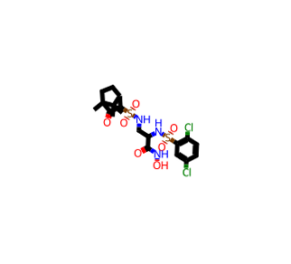 CC12CCC(C(S(=O)(=O)NCC(NS(=O)(=O)c3cc(Cl)ccc3Cl)C(=O)NO)C1=O)C2(C)C